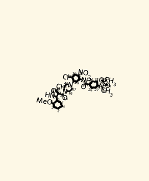 COc1ccccc1C1NOC(C)=C1C(=O)N1CCN(c2cc(NC(=O)c3ccc(N(C)S(C)(=O)=O)cc3)c([N+](=O)[O-])cc2Cl)CC1